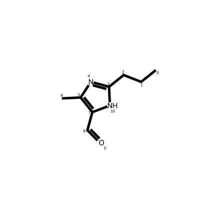 CCCc1nc(C)c(C=O)[nH]1